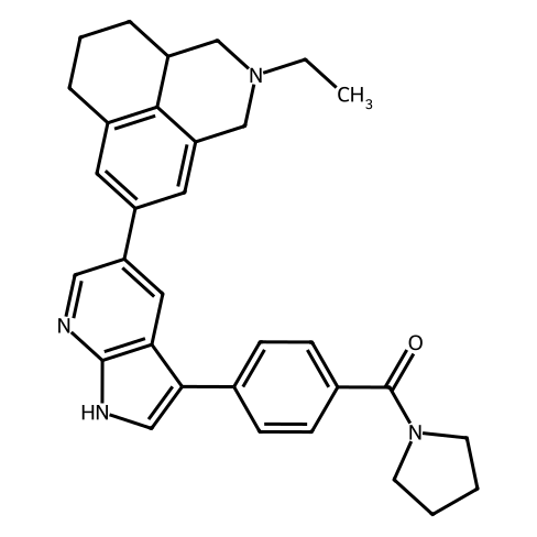 CCN1Cc2cc(-c3cnc4[nH]cc(-c5ccc(C(=O)N6CCCC6)cc5)c4c3)cc3c2C(CCC3)C1